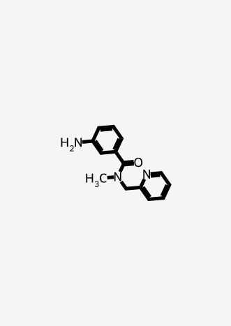 CN(Cc1ccccn1)C(=O)c1cccc(N)c1